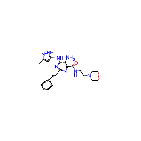 Cc1cc(Nc2nc(/C=C/c3ccccc3)nc(C(=O)NCCN3CCOCC3)c2N)[nH]n1